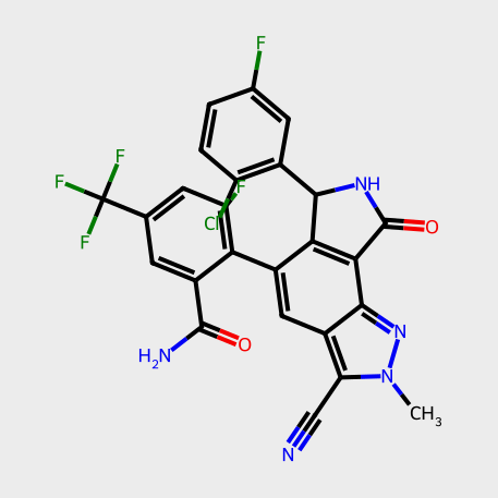 Cn1nc2c3c(c(-c4c(F)cc(C(F)(F)F)cc4C(N)=O)cc2c1C#N)C(c1cc(F)ccc1Cl)NC3=O